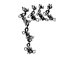 CC1CC(c2cncnc2)=CCN1C(=O)c1cc2ncc(Br)cn2n1.CC1CC(c2cncnc2)=CCN1C(=O)c1cc2ncc(Cl)cn2n1.O=C(c1cc2ncc(Br)cn2n1)N1CC=C(c2ccncn2)CC1.O=C(c1cc2ncc(Br)cn2n1)N1CC=C(c2cncnc2)CC1.O=C(c1cc2ncc(Cl)cn2n1)N1CC=C(c2ccncn2)CC1.O=C(c1cc2ncc(Cl)cn2n1)N1CC=C(c2cncnc2)CC1